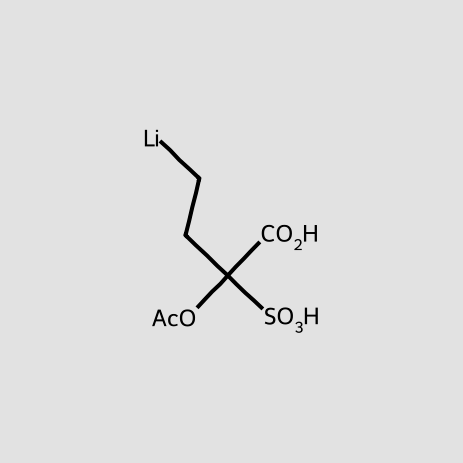 [Li][CH2]CC(OC(C)=O)(C(=O)O)S(=O)(=O)O